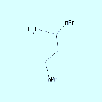 CCC[CH]CC(C)CCC